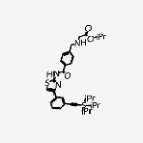 CC(C)OC(=O)CNCc1ccc(C(=O)Nc2nc(-c3cccc(C#CS(C(C)C)(C(C)C)C(C)C)c3)cs2)cc1